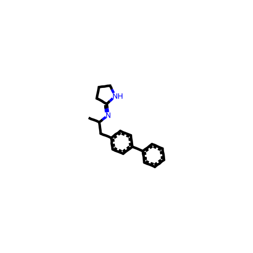 CC(Cc1ccc(-c2ccccc2)cc1)N=C1CCCN1